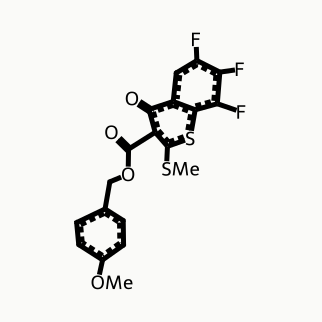 COc1ccc(COC(=O)c2c(SC)sc3c(F)c(F)c(F)cc3c2=O)cc1